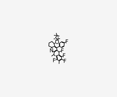 Cc1c(F)cc(C(F)c2c(C(C)C)nc3c(c2-c2ccc(F)cc2)C(O[Si](C)(C)C(C)(C)C)CCC3)c(F)c1F